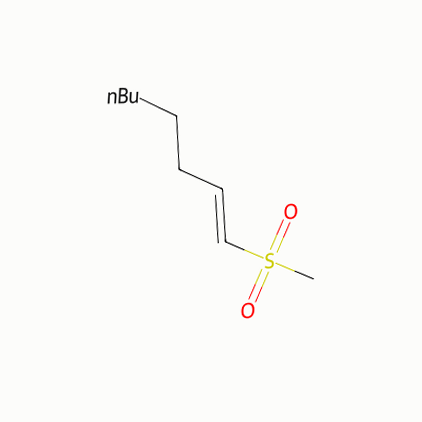 CCCCCC/C=C/S(C)(=O)=O